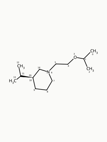 CC(C)OCCN1CCC[C@@H](C(C)C)C1